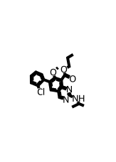 CCCOC(=O)c1c(OC)c(-c2ccccc2Cl)cc2cnc(NC(C)C)nc12